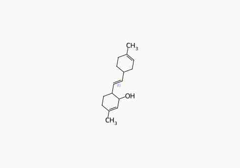 CC1=CCC(/C=C/C2CCC(C)=CC2O)CC1